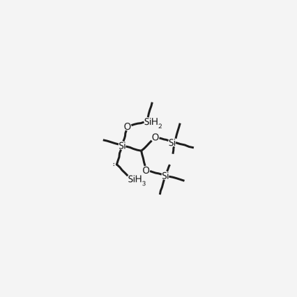 C[SiH2]O[Si](C)([C][SiH3])C(O[Si](C)(C)C)O[Si](C)(C)C